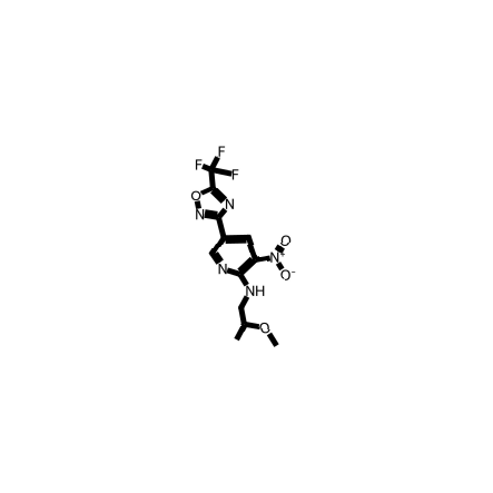 COC(C)CNc1ncc(-c2noc(C(F)(F)F)n2)cc1[N+](=O)[O-]